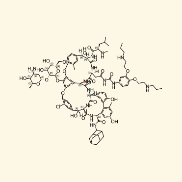 CCCNCCOc1ccc(NC(=O)NC(=O)C[C@@H]2NC(=O)[C@H](NC(=O)[C@@H](CC(C)C)NC)[C@H](O)c3ccc(c(C)c3)Oc3cc4cc(c3O[C@@H]3O[C@H](CO)[C@@H](O)[C@H](O)[C@H]3O[C@H]3C[C@](C)(N)[C@H](O)[C@H](C)O3)Oc3ccc(cc3Cl)[C@@H](O)[C@@H]3NC(=O)[C@H](NC(=O)[C@@H]4NC2=O)c2ccc(O)c(c2)-c2c(C)cc(O)cc2[C@@H](C(=O)NC2C4CC5CC(C4)CC2C5)NC3=O)cc1OCCNCCC